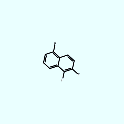 Fc1ccc2c(F)cccc2c1F